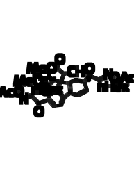 CCCCCC/C(=N\OC(C)=O)C(=O)c1ccc2c(c1)C(C(C)C(=O)OC)(C(C)C(=O)OC)c1cc(C(=O)/C(CCCCCC)=N/OC(C)=O)ccc1-2